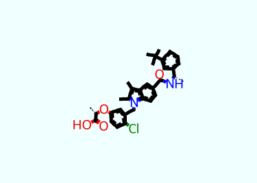 Cc1c(C)n(Cc2cc(O[C@@H](C)C(=O)O)ccc2Cl)c2ccc(C(=O)N[C@@H](C)c3cccc(C(C)(C)C)c3)cc12